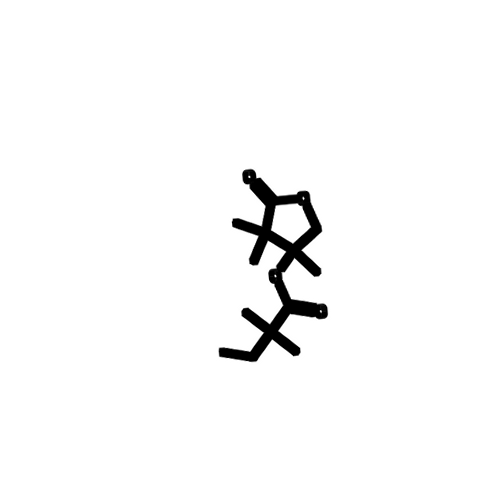 CCC(C)(C)C(=O)OC1(C)COC(=O)C1(C)C